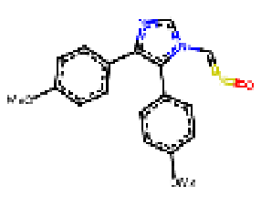 COc1ccc(-c2ncn(C=S=O)c2-c2ccc(OC)cc2)cc1